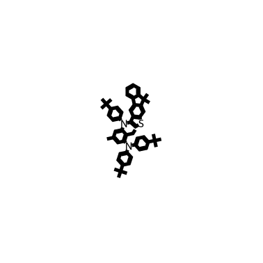 CCc1c(N(c2ccc(C(C)(C)C)cc2)c2ccc(C(C)(C)C)cc2)cc(C)cc1N(c1ccc(C(C)(C)C)cc1)c1csc2cc3c(cc12)-c1ccccc1C3(C)C